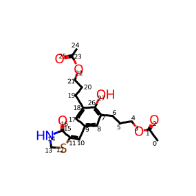 CC(=O)OCCCc1cc(C=C2SCNC2=O)cc(CCCOC(C)=O)c1O